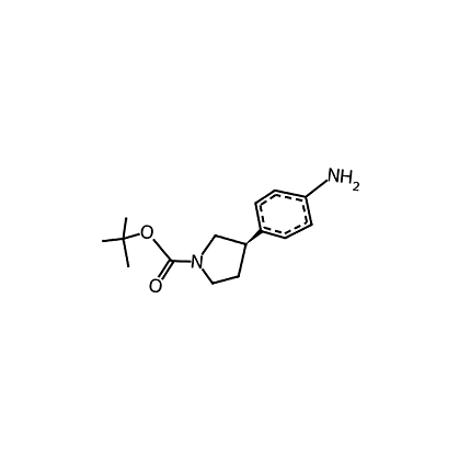 CC(C)(C)OC(=O)N1CC[C@H](c2ccc(N)cc2)C1